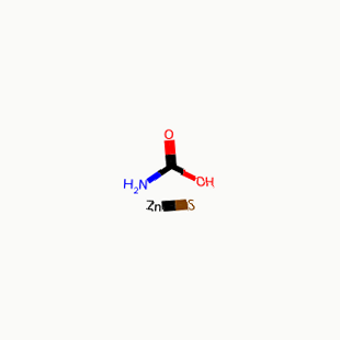 NC(=O)O.[S]=[Zn]